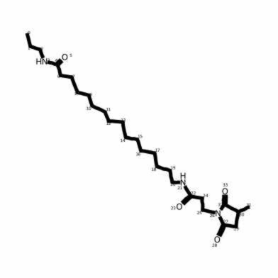 CCCNC(=O)CCCCCCCCCCCCCCCNC(=O)CCN1C(=O)CC(C)C1=O